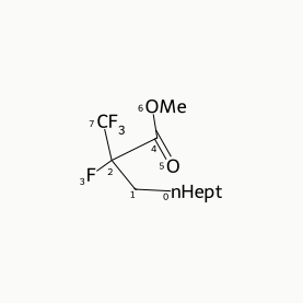 CCCCCCCCC(F)(C(=O)OC)C(F)(F)F